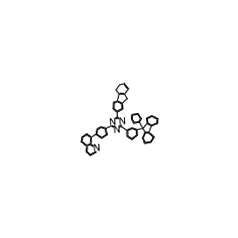 C1=CC2=C(CC1)c1ccc(-c3nc(-c4ccc(-c5cccc6cccnc56)cc4)nc(-c4cccc(C5(c6ccccc6)c6ccccc6-c6ccccc65)c4)n3)cc1C2